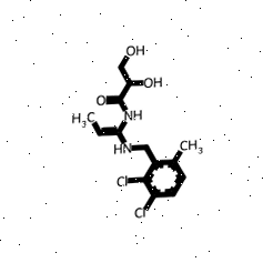 CC=C(NCc1c(C)ccc(Cl)c1Cl)NC(=O)C(O)CO